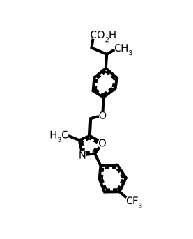 Cc1nc(-c2ccc(C(F)(F)F)cc2)oc1COc1ccc(C(C)CC(=O)O)cc1